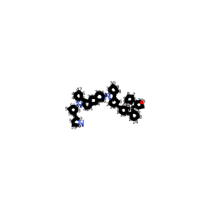 c1ccc([Si]2(c3ccccc3)c3ccccc3-c3ccc(-c4ccc5c(c4)c4ccccc4n5-c4ccc5cc6c(ccc7c6c6ccccc6n7-c6cccc(-c7cccnc7)c6)cc5c4)cc32)cc1